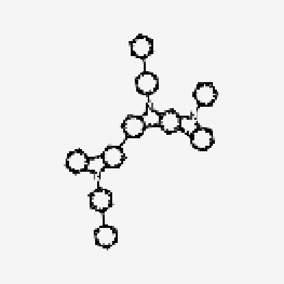 c1ccc(-c2ccc(-n3c4ccccc4c4cc(-c5ccc6c(c5)c5cc7c8ccccc8n(-c8ccccc8)c7cc5n6-c5ccc(-c6ccccc6)cc5)ccc43)cc2)cc1